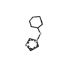 c1cn(SC2CCCCC2)cn1